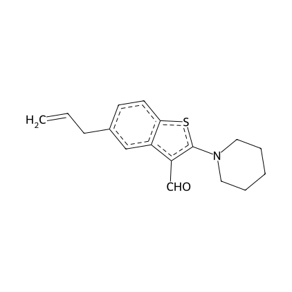 C=CCc1ccc2sc(N3CCCCC3)c(C=O)c2c1